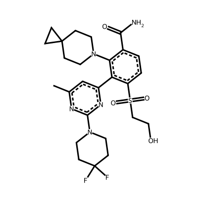 Cc1cc(-c2c(S(=O)(=O)CCO)ccc(C(N)=O)c2N2CCC3(CC2)CC3)nc(N2CCC(F)(F)CC2)n1